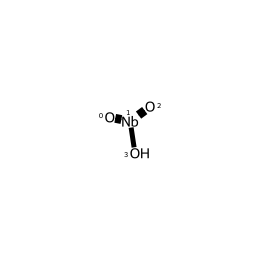 [O]=[Nb](=[O])[OH]